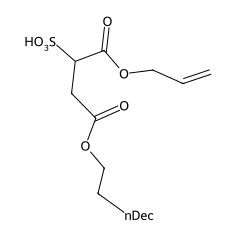 C=CCOC(=O)C(CC(=O)OCCCCCCCCCCCC)S(=O)(=O)O